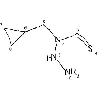 NNN(C=S)CC1CC1